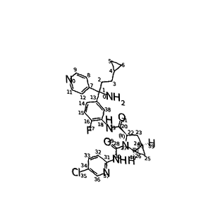 NC(CCC1CC1)(c1ccncc1)c1ccc(F)c(NC(=O)[C@H]2C[C@H]3C[C@H]3N2C(=O)Nc2ccc(Cl)cn2)c1